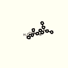 CC1(C)c2ccccc2-c2ccc(N(c3ccccc3)c3ccc4c(c3)-c3cccc5c(N(c6ccc(-c7ccccc7)cc6)c6ccc(-c7ccccc7)cc6)ccc(c35)O4)cc21